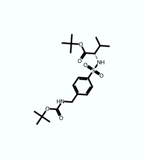 CC(C)[C@H](NS(=O)(=O)c1ccc(CNC(=O)OC(C)(C)C)cc1)C(=O)OC(C)(C)C